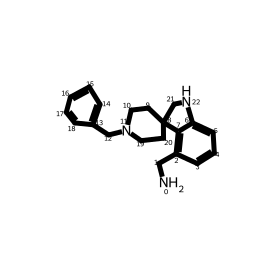 NCc1cccc2c1C1(CCN(Cc3ccccc3)CC1)CN2